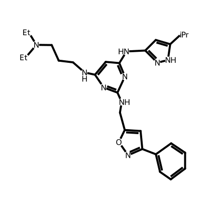 CCN(CC)CCCNc1cc(Nc2cc(C(C)C)[nH]n2)nc(NCc2cc(-c3ccccc3)no2)n1